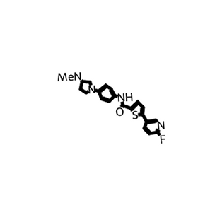 CNC1CCN(c2ccc(NC(=O)c3ccc(-c4ccc(F)nc4)s3)cc2)C1